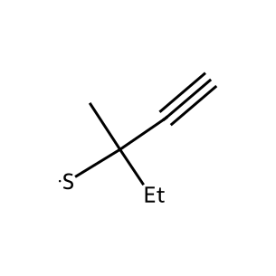 C#CC(C)([S])CC